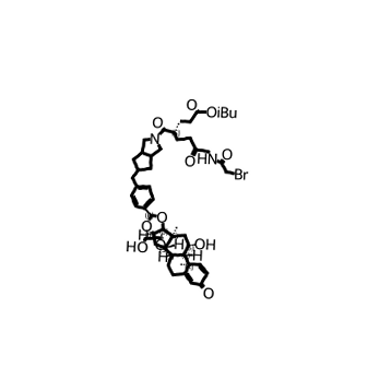 CC(C)COC(=O)CC[C@H](CCC(=O)CNC(=O)CBr)C(=O)N1CC2CC(Cc3ccc([C@@H]4O[C@@H]5C[C@H]6[C@@H]7CCC8=CC(=O)C=C[C@]8(C)[C@H]7[C@@H](O)C[C@]6(C)[C@]5(C(=O)CO)O4)cc3)CC2C1